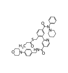 CCC(=O)SCc1ccc(C(=O)N(c2ccccc2)N2CCCCC2)cc1-c1cc(C(=O)NCc2ccc(N3CCOCC3)cc2)ccn1